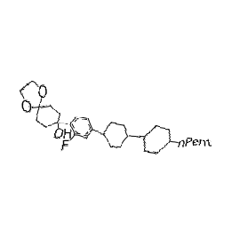 CCCCCC1CCC(C2CCC(c3ccc(C4(O)CCC5(CC4)OCCO5)c(F)c3)CC2)CC1